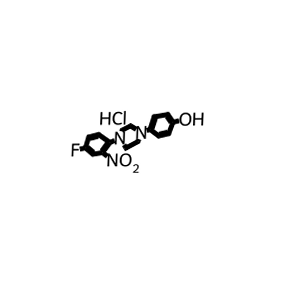 Cl.O=[N+]([O-])c1cc(F)ccc1N1CCN(c2ccc(O)cc2)CC1